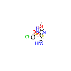 CCOC(=O)c1c(C)nc2sc(-c3cn[nH]c3)cc2c1NS(=O)(=O)c1cccc(Cl)c1